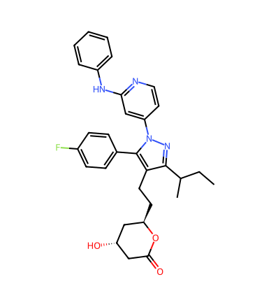 CCC(C)c1nn(-c2ccnc(Nc3ccccc3)c2)c(-c2ccc(F)cc2)c1CC[C@@H]1C[C@@H](O)CC(=O)O1